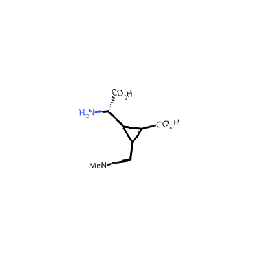 CNCC1C(C(=O)O)C1[C@H](N)C(=O)O